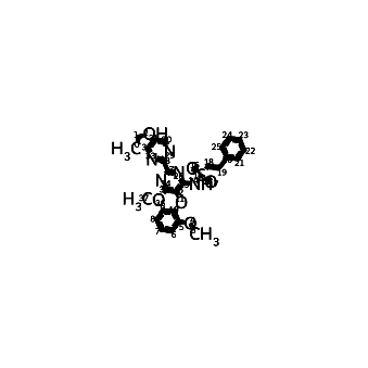 CCO.COc1ccccc1Oc1c(NS(=O)(=O)/C=C/c2ccccc2)nc(-c2ncccn2)nc1OC